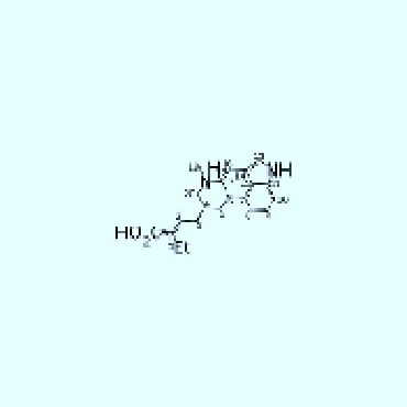 CC/C(=C\C[C@@H]1CC2c3cccc4[nH]cc(c34)C[C@H]2N(C)C1)C(=O)O